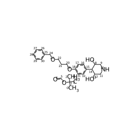 CC(C)(C)OC=O.OC1CNCC(O)C1c1ccc(OCCCOCc2ccccc2)cc1